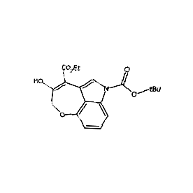 CCOC(=O)C1=C(O)COc2cccc3c2c1cn3C(=O)OC(C)(C)C